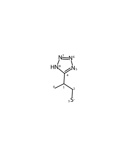 CC(C[S])c1nnn[nH]1